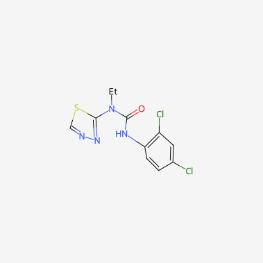 CCN(C(=O)Nc1ccc(Cl)cc1Cl)c1nncs1